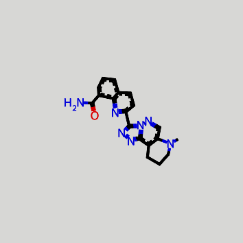 CN1CCCc2c1cnn1c(-c3ccc4cccc(C(N)=O)c4n3)nnc21